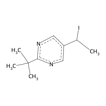 CC(I)c1cnc(C(C)(C)C)nc1